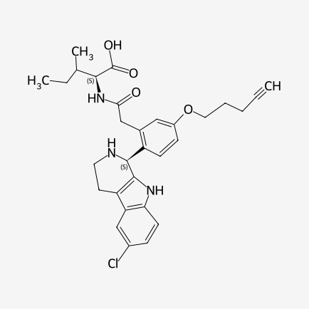 C#CCCCOc1ccc([C@@H]2NCCc3c2[nH]c2ccc(Cl)cc32)c(CC(=O)N[C@H](C(=O)O)C(C)CC)c1